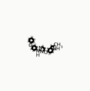 Cc1cc2cc(Oc3ccnc(Nc4ccc(Oc5ccccc5)cc4)n3)ccc2[nH]1